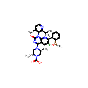 Cc1ccnc(C(C)C)c1-n1c(=O)nc(N2C[C@@H](C)N(C(=O)O)C[C@@H]2C)c2cc(Cl)c(-c3ccccc3[S+](C)[O-])nc21